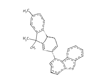 Cc1ccc2c(c1)C(C)(C)C1=CC(c3cccc4sc5ccccc5c34)=CCC12